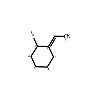 N#CC=C1CCCCC1F